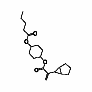 C=C(C(=O)OC1CCC(OC(=O)CCCC)CC1)C1C2CCCC21